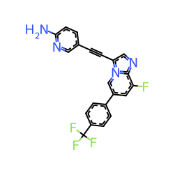 Nc1ccc(C#Cc2cnc3c(F)cc(-c4ccc(C(F)(F)F)cc4)cn23)cn1